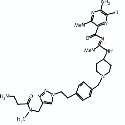 CN/C(=N\C(=O)c1nc(Cl)c(N)nc1NC)NC1CCN(Cc2ccc(CCn3cc(CN(C)C(=O)CCN)nn3)cc2)CC1